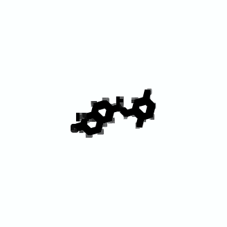 Cc1ccc(C)c(CNc2ccc3c(c2)CCC(=O)N3)c1